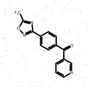 O=C(c1ccc(-c2noc(C(F)(F)F)n2)cc1)c1cccnc1